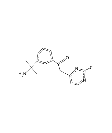 CC(C)(N)c1cccc(C(=O)Cc2ccnc(Cl)n2)c1